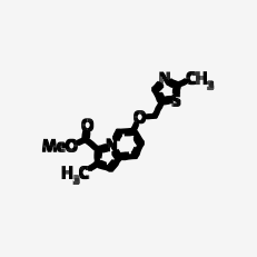 COC(=O)c1c(C)cc2ccc(OCc3cnc(C)s3)cn12